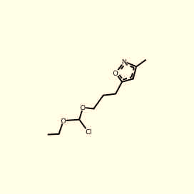 CCOC(Cl)OCCCc1cc(C)no1